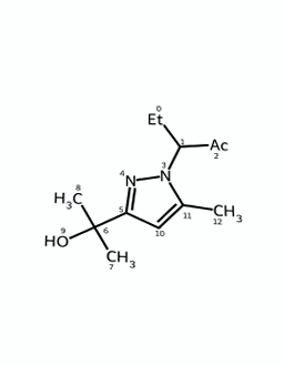 CCC(C(C)=O)n1nc(C(C)(C)O)cc1C